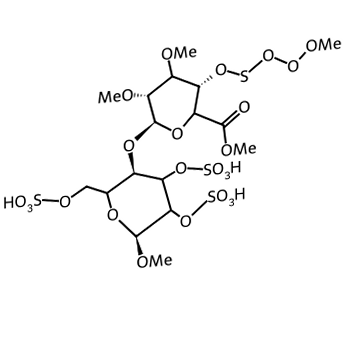 COOOSO[C@@H]1C(C(=O)OC)O[C@@H](O[C@@H]2C(COS(=O)(=O)O)O[C@H](OC)C(OS(=O)(=O)O)C2OS(=O)(=O)O)[C@H](OC)C1OC